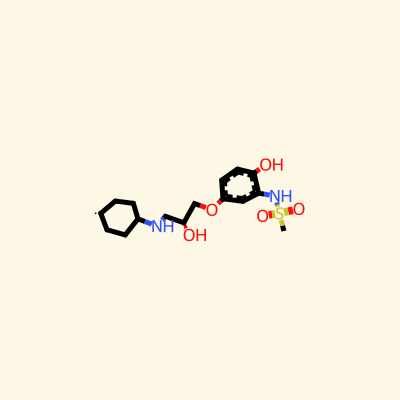 CS(=O)(=O)Nc1cc(OC[C@@H](O)CNC2CC[CH]CC2)ccc1O